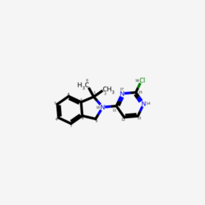 CC1(C)c2ccccc2CN1c1ccnc(Cl)n1